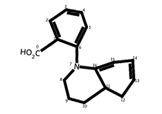 O=C(O)c1ccccc1N1CCCC2CC=CC=C21